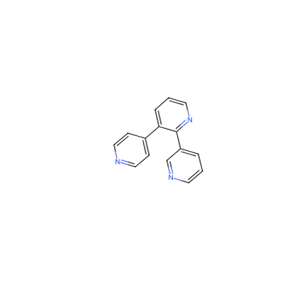 c1cncc(-c2ncccc2-c2ccncc2)c1